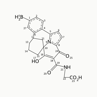 Bc1ccc(-c2ccc3n2C2(CCCCC2)C(O)=C(C(=O)NCC(=O)O)C3=O)cc1